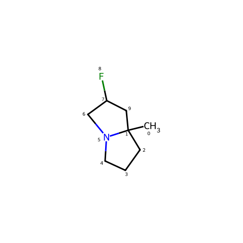 CC12CCCN1CC(F)C2